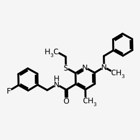 CCSc1nc(N(C)Cc2ccccc2)cc(C)c1C(=O)NCc1cccc(F)c1